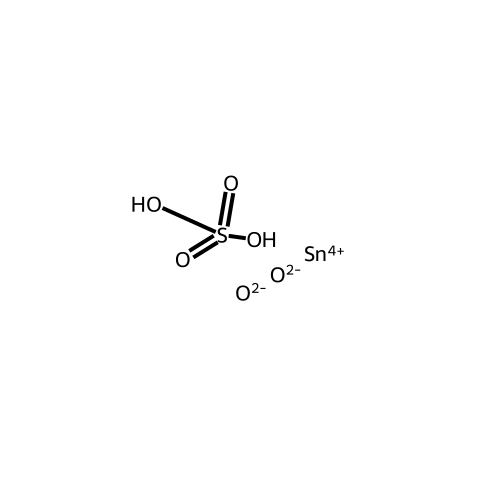 O=S(=O)(O)O.[O-2].[O-2].[Sn+4]